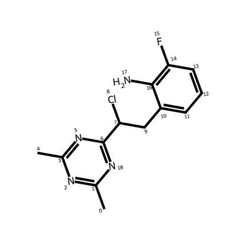 Cc1nc(C)nc(C(Cl)Cc2cccc(F)c2N)n1